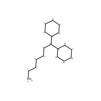 PCCCCCC(C1CCCCC1)C1CCCCC1